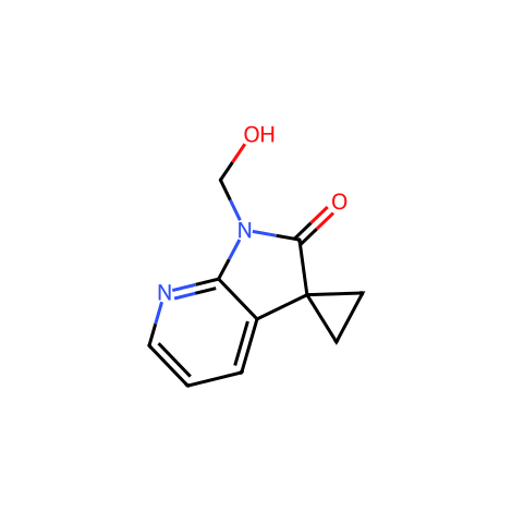 O=C1N(CO)c2ncccc2C12CC2